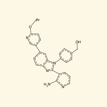 CC(C)Oc1ccc(-c2ccc3nc(-c4cccnc4N)n(-c4ccc(CO)cc4)c3c2)cn1